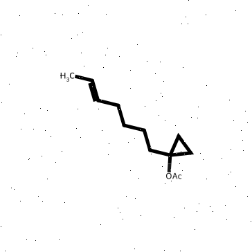 CC=CCCCCC1(OC(C)=O)CC1